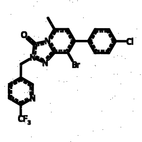 Cc1cc(-c2ccc(Cl)cc2)c(Br)c2nn(Cc3ccc(C(F)(F)F)nc3)c(=O)n12